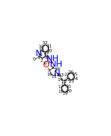 Cc1cc(NC(=O)NC2CCCN(CCC(c3ccccc3)c3ccccc3)C2)c2ccccc2n1